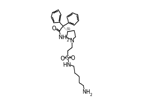 NCCCCCNS(=O)(=O)CCN1CC[C@@H](C(C(N)=O)(c2ccccc2)c2ccccc2)C1